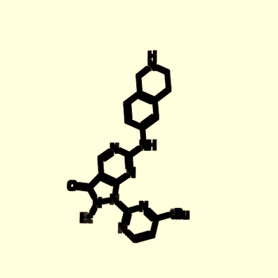 CCn1c(=O)c2cnc(Nc3ccc4c(c3)CCNC4)nc2n1-c1nccc(C(C)(C)C)n1